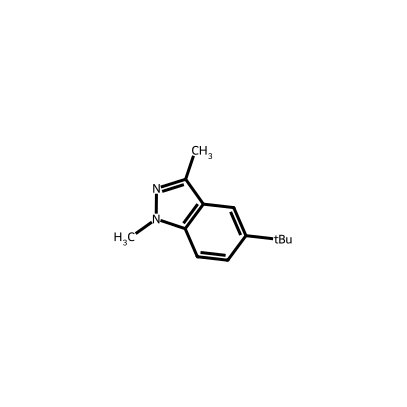 Cc1nn(C)c2ccc(C(C)(C)C)cc12